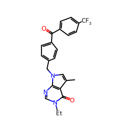 CCn1cnc2c(c(C)cn2Cc2ccc(C(=O)c3ccc(C(F)(F)F)cc3)cc2)c1=O